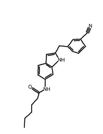 CCCCCC(=O)Nc1ccc2cc(Cc3cccc(C#N)c3)[nH]c2c1